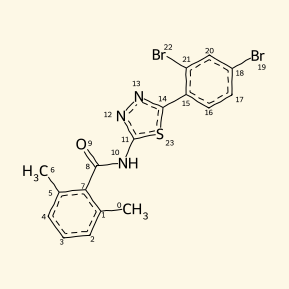 Cc1cccc(C)c1C(=O)Nc1nnc(-c2ccc(Br)cc2Br)s1